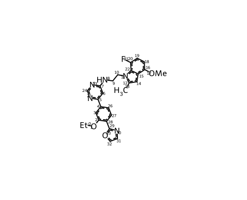 CCOc1cc(-c2cc(NCCn3c(C)cc4c(OC)ccc(F)c43)ncn2)ccc1-c1ncco1